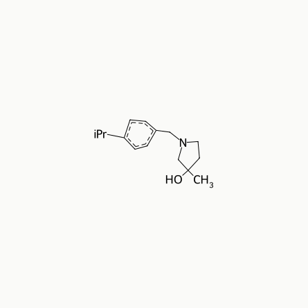 CC(C)c1ccc(CN2CCC(C)(O)C2)cc1